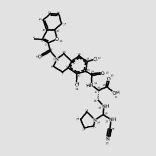 CC1=C(C(=O)N2CCc3c(cc(Cl)c(C(=O)N[C@@H](CNC(NC#N)N4CCCC4)C(=O)O)c3Cl)C2)OC2CC=CC=C12